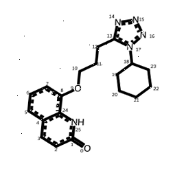 O=c1ccc2cccc(OCCCc3nnnn3C3CCCCC3)c2[nH]1